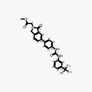 COC(=O)CN1Cc2ccc(-c3ccc(NC(=O)Nc4cccc(C(F)(F)F)c4)cc3)cc2C1=O